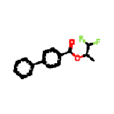 CC(OC(=O)c1ccc(-c2ccccc2)cc1)C(F)F